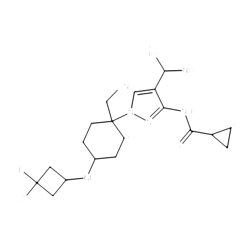 N#CCC1(n2cc(C(N)O)c(NC(=O)C3CC3)n2)CCC(NC2CC(F)(F)C2)CC1